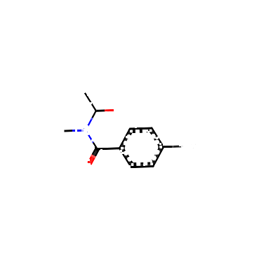 COc1ccc(C(=O)N(C)C(C)O)cc1